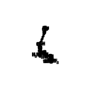 CC(C)(C)OC(=O)COCCCCCCCCNC(=O)c1ccc(-n2cc(NC(=O)c3coc(-c4ccnc(N(CC(F)(F)F)C(=O)OC(C)(C)C)c4)n3)c(C(N)=O)n2)cc1